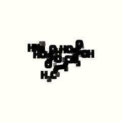 CCCC.O=S(=O)(O)O.O=S(=O)(O)O.[NaH]